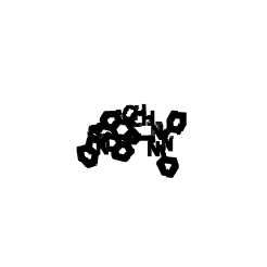 CC1(C)c2ccccc2C2(c3ccccc3-n3c4ccccc4c4cccc2c43)c2ccc(-c3nc(-c4ccccc4)nc(-c4ccccc4)n3)cc21